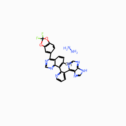 Cc1ccc2c(-c3ccc4c(c3)OC(F)(F)O4)ncnc2c1-c1ncccc1-c1ncnc2[nH]cnc12.NN